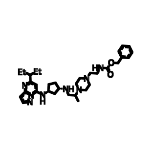 CCC(CC)c1cc(N[C@H]2CC[C@H](NCC(C)N3CCN(CCNC(=O)OCc4ccccc4)CC3)C2)n2nccc2n1